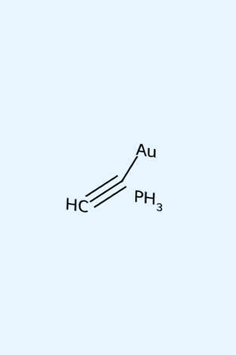 C#[C][Au].P